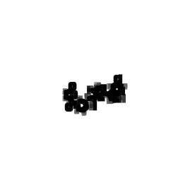 O=C1CCC(C(=O)N2CCC[C@@H](CNc3nc(-c4c[nH]c5ncc(Cl)cc45)ncc3F)C2)O1